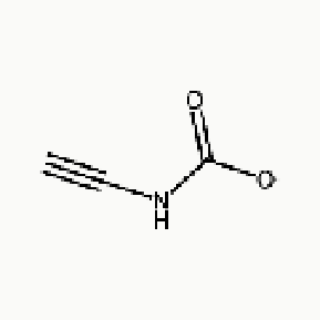 C#CNC([O])=O